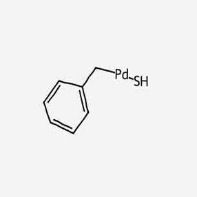 [SH][Pd][CH2]c1ccccc1